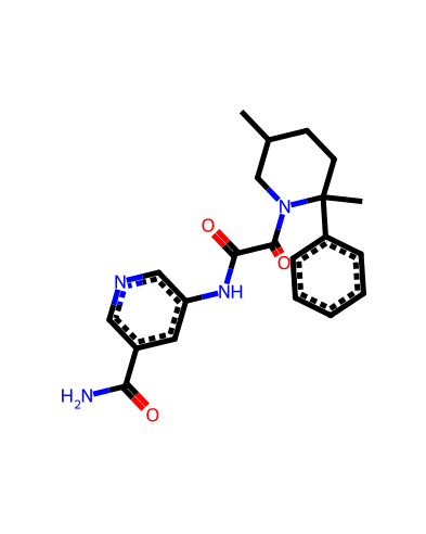 CC1CCC(C)(c2ccccc2)N(C(=O)C(=O)Nc2cncc(C(N)=O)c2)C1